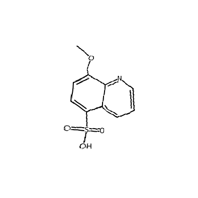 COc1ccc(S(=O)(=O)O)c2cccnc12